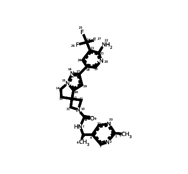 Cc1ncc(C(C)NC(=O)N2CC3(CCn4nc(-c5cnc(N)c(C(F)(F)F)c5)cc43)C2)cn1